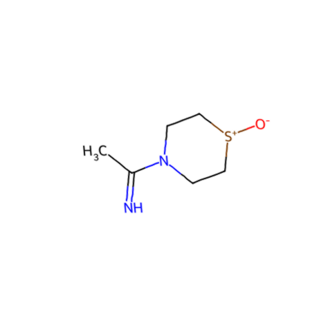 CC(=N)N1CC[S+]([O-])CC1